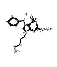 CC(=O)Nc1nc2c(c(=O)[nH]1)n(Cc1ccccc1)c[n+]2CCCCOC(C)=O.[I-]